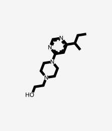 CCC(C)c1cc(N2CCN(CCO)CC2)ncn1